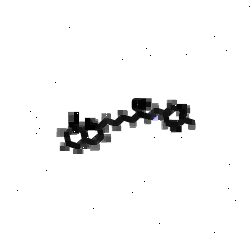 Cc1ncc(/C=C/[C@H](O)CCCCc2ccc3c(n2)NCCC3)cn1